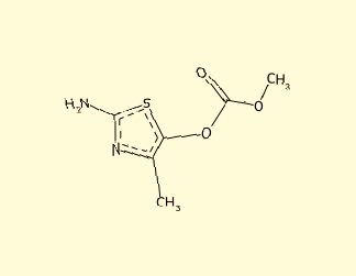 COC(=O)Oc1sc(N)nc1C